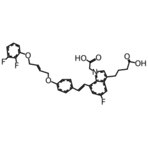 O=C(O)CCCc1cn(CC(=O)O)c2c(C=Cc3ccc(OC/C=C/COc4cccc(F)c4F)cc3)cc(F)cc12